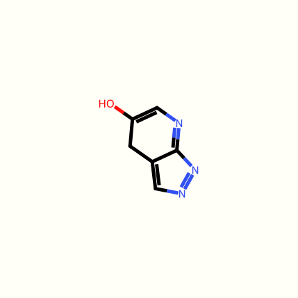 OC1=CN=C2N=NC=C2C1